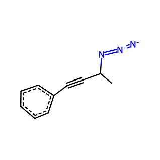 CC(C#Cc1ccccc1)N=[N+]=[N-]